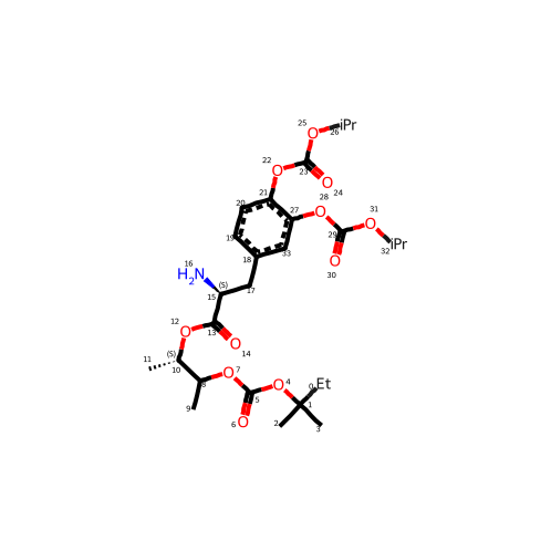 CCC(C)(C)OC(=O)OC(C)[C@H](C)OC(=O)[C@@H](N)Cc1ccc(OC(=O)OC(C)C)c(OC(=O)OC(C)C)c1